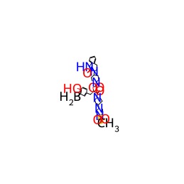 Bc1cc(C[C@@H](OC(=O)N2CCC(N3CCc4ccccc4NC3=O)CC2)C(=O)N2CCC(N3CCN(S(C)(=O)=O)CC3)CC2)ccc1O